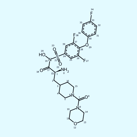 N[C@@H](CC1CCN(C(=O)N2CCOCC2)CC1)C(=O)N(O)S(=O)(=O)c1cc(F)c(Oc2ccc(F)cc2)c(F)c1